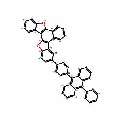 c1ccc(-c2c3ccccc3c(-c3ccc(-c4ccc5oc6c(c5c4)c4ccccc4c4oc5ccccc5c46)cc3)c3ccccc23)cc1